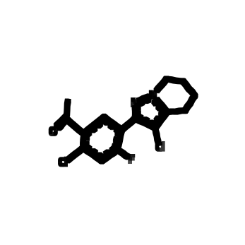 CC(=O)c1cc(-c2nn3c(c2Cl)CCCC3)c(F)cc1Cl